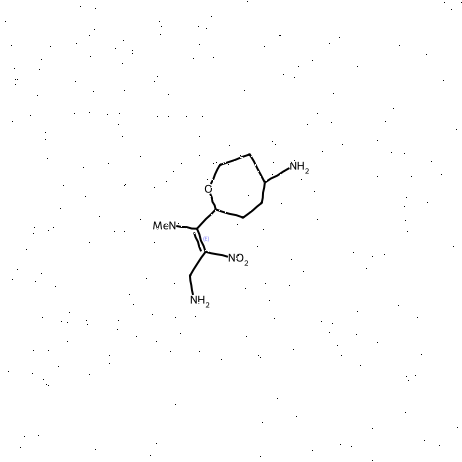 CN/C(=C(\CN)[N+](=O)[O-])C1CCC(N)CCO1